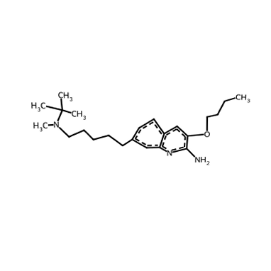 CCCCOc1cc2ccc(CCCCCN(C)C(C)(C)C)cc2nc1N